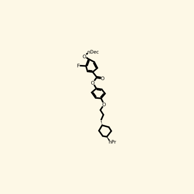 CCCCCCCCCCOc1ccc(C(=O)Oc2ccc(OCCC[C@H]3CC[C@H](CCC)CC3)cc2)cc1F